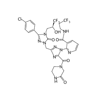 O=C1CN(C(=O)c2nc(Cn3nc(-c4ccc(Cl)cc4)n(C[C@H](O)C(F)(F)F)c3=O)nn2-c2ncccc2C(=O)NCCC(F)(F)F)CCN1